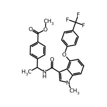 COC(=O)c1ccc(C(C)NC(=O)c2cn(C)c3cccc(Oc4ccc(C(F)(F)F)cc4)c23)cc1